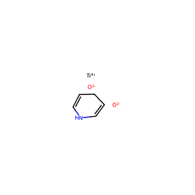 C1=CNC=CC1.[O-2].[O-2].[Ti+4]